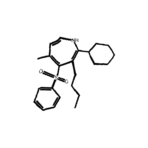 CCCCC1=C(C2CCCCC2)NC=CC(C)=C1S(=O)(=O)c1ccccc1